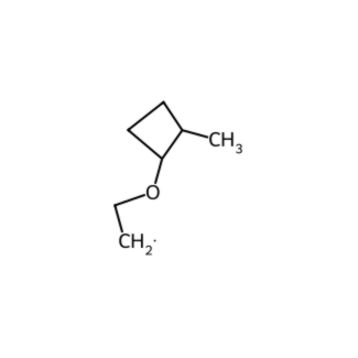 [CH2]COC1CCC1C